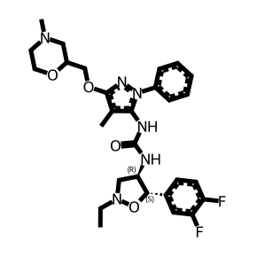 CCN1C[C@@H](NC(=O)Nc2c(C)c(OCC3CN(C)CCO3)nn2-c2ccccc2)[C@H](c2ccc(F)c(F)c2)O1